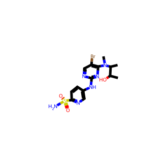 CC(O)C(C)N(C)c1nc(Nc2ccc(S(N)(=O)=O)nc2)ncc1Br